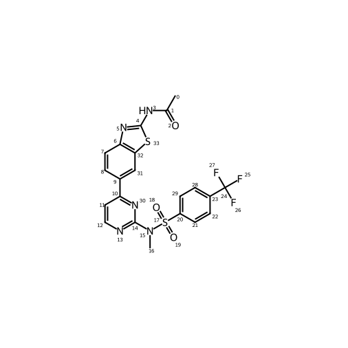 CC(=O)Nc1nc2ccc(-c3ccnc(N(C)S(=O)(=O)c4ccc(C(F)(F)F)cc4)n3)cc2s1